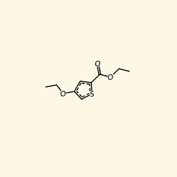 CCOC(=O)c1cc(OCC)cs1